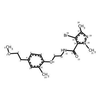 COCCc1ccc(OCCNC(=O)c2c(Br)c(C)nn2C)c(C)c1